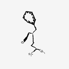 CC(C)CCN([C]=O)Cc1ccccc1